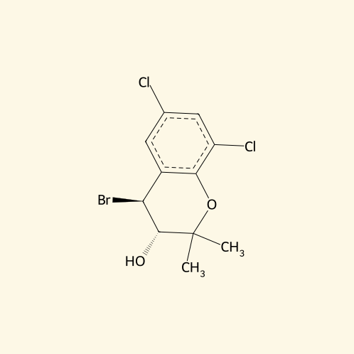 CC1(C)Oc2c(Cl)cc(Cl)cc2[C@H](Br)[C@H]1O